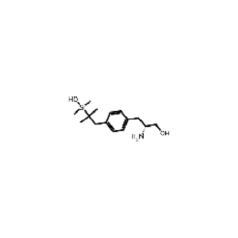 CC(C)(Cc1ccc(C[C@@H](N)CO)cc1)[Si](C)(C)O